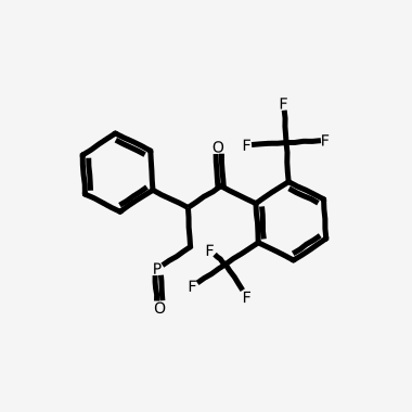 O=PCC(C(=O)c1c(C(F)(F)F)cccc1C(F)(F)F)c1ccccc1